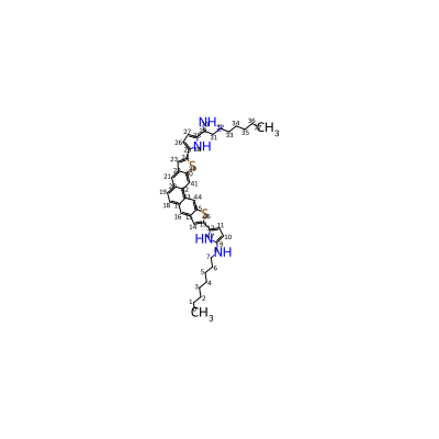 CCCCCCCCNc1ccc(-c2cc3cc4ccc5cc6cc(-c7ccc(C(N)CCCCCCC)[nH]7)sc6cc5c4cc3s2)[nH]1